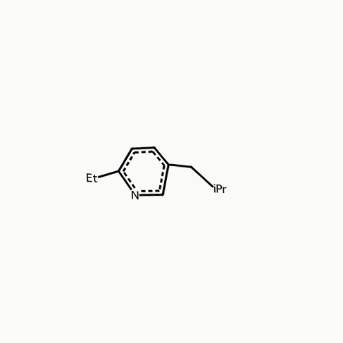 CCc1ccc(CC(C)C)cn1